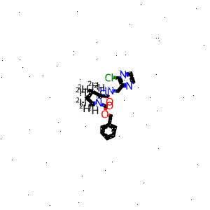 [2H]C1([2H])N(C(=O)OCc2ccccc2)[C@]([2H])(C(=O)NCc2nccnc2Cl)C([2H])([2H])C1([2H])[2H]